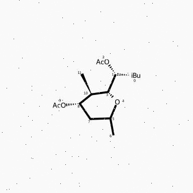 CC[C@@H](C)[C@@H](OC(C)=O)[C@@H]1OC(C)C[C@H](OC(C)=O)[C@H]1C